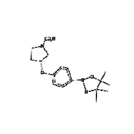 CC1(C)OB(c2ccc(O[C@@H]3CCN(C(=O)O)C3)cc2)OC1(C)C